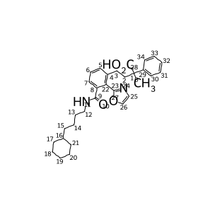 CC(CCc1cccc(C(=O)NCCCCC2CCCCC2)c1-c1ncco1)(C(=O)O)c1ccccc1